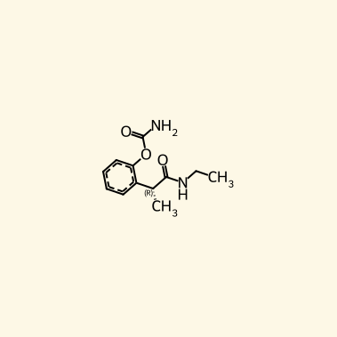 CCNC(=O)[C@H](C)c1ccccc1OC(N)=O